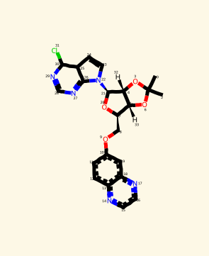 CC1(C)O[C@@H]2[C@H](O1)[C@@H](COc1ccc3nccnc3c1)O[C@H]2N1C=CC2C1=NC=NC2Cl